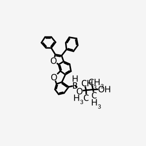 CC(C)(O)C(C)(C)OBc1cccc2oc3c(ccc4c(-c5ccccc5)c(-c5ccccc5)oc43)c12